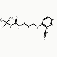 CC(C)(C)OC(=O)NCCCOc1cnccc1C#N